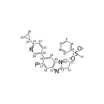 CS(=O)(=O)c1ccccc1[C@@H]1CCc2nc3cc(F)c(-c4ccc(C5CC5)nc4)cc3n21